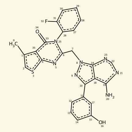 Cc1csc2nc(Cn3nc(-c4cccc(O)c4)c4c(N)ncnc43)n(-c3ccccc3F)c(=O)c12